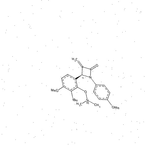 C=C1C(=O)N(c2ccc(OC)cc2)[C@H]1c1ccc(OC)c(C(C)(C)C)c1O[SiH](C)C